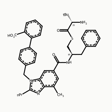 CCCc1nc2c(C)cc(C(=O)N[C@@H](CSC(=O)[C@@H](N)C(C)(C)C)Cc3ccccc3)cc2n1Cc1ccc(-c2ccccc2C(=O)O)cc1